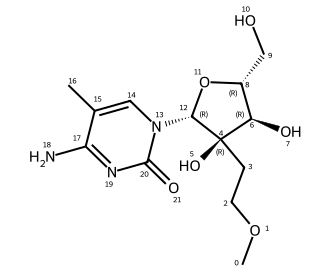 COCC[C@@]1(O)[C@H](O)[C@@H](CO)O[C@H]1n1cc(C)c(N)nc1=O